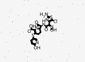 Nc1nc(/C(=N/O)C(=O)N[C@@H]2C(=O)N3C(C(=O)O)=C(Sc4ccc(O)nc4)CCC23)c(Cl)s1